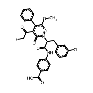 COc1nn(C(Cc2cccc(Cl)c2)C(=O)Nc2ccc(C(=O)O)cc2)c(=O)c(C(=O)CF)c1-c1ccccc1